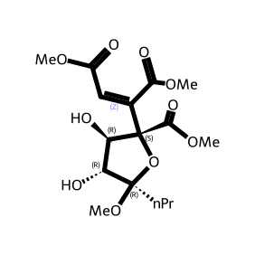 CCC[C@@]1(OC)O[C@@](C(=O)OC)(/C(=C/C(=O)OC)C(=O)OC)[C@H](O)[C@H]1O